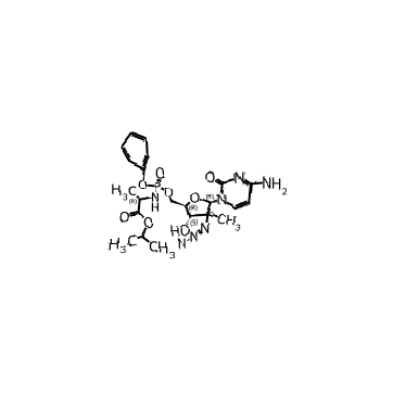 CC(C)OC(=O)[C@@H](C)NP(=O)(OC[C@H]1O[C@@H](n2ccc(N)nc2=O)[C@](C)(N=[N+]=[N-])[C@@H]1O)Oc1ccccc1